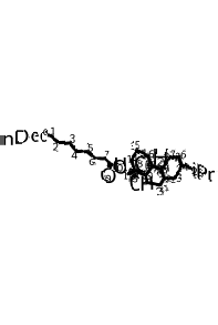 CCCCCCCCCCCCCCCCCC(=O)OC[C@@]1(C)CCC[C@@]2(C)C1CCC1CC(C(C)C)CC[C@H]12